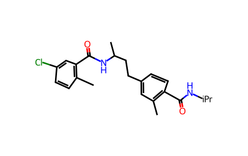 Cc1cc(CCC(C)NC(=O)c2cc(Cl)ccc2C)ccc1C(=O)NC(C)C